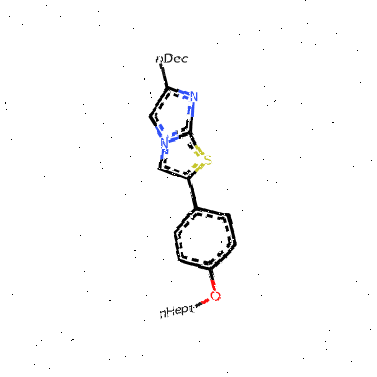 CCCCCCCCCCc1cn2cc(-c3ccc(OCCCCCCC)cc3)sc2n1